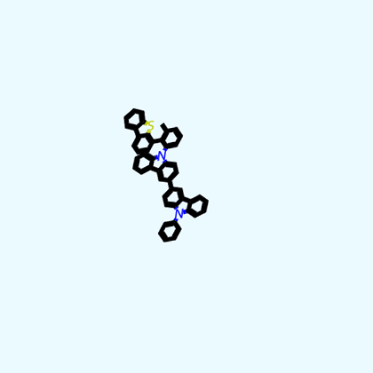 Cc1cccc(-n2c3ccccc3c3cc(-c4ccc5c(c4)c4ccccc4n5-c4ccccc4)ccc32)c1-c1cccc2c1sc1ccccc12